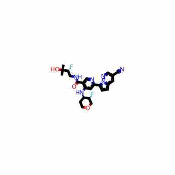 CC(C)(O)[C@H](F)CNC(=O)c1cnc(-c2ccc3cc(C#N)cnn23)cc1N[C@@H]1CCOC[C@@H]1F